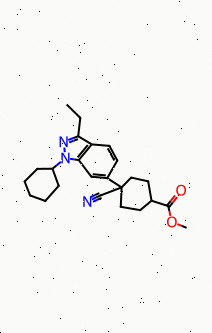 CCc1nn(C2CCCCC2)c2cc(C3(C#N)CCC(C(=O)OC)CC3)ccc12